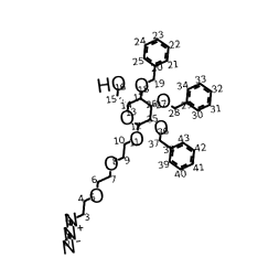 [N-]=[N+]=NCCOCCOCCOC1O[C@H](CO)[C@@H](OCc2ccccc2)[C@H](OCc2ccccc2)[C@@H]1OCc1ccccc1